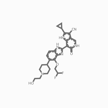 N#Cc1c(C2CC2)[nH]c2c(-c3nc4c(OCC(F)F)c(C5CCN(CCO)CC5)ccc4[nH]3)c(=O)[nH]cc12